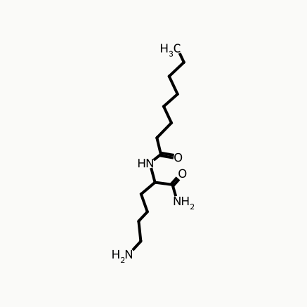 CCCCCCCC(=O)NC(CCCCN)C(N)=O